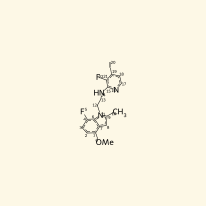 COc1ccc(F)c2c1cc(C)n2CCNc1nccc(I)c1F